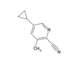 Cc1cc(C2CC2)cnc1C#N